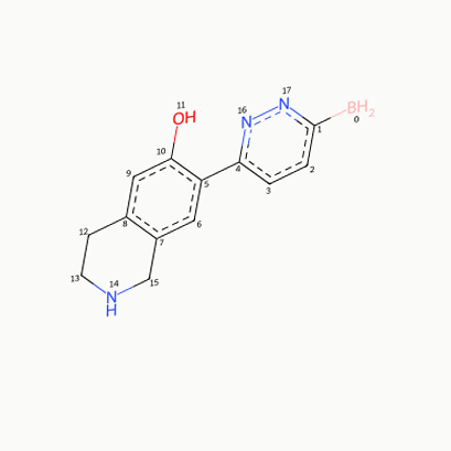 Bc1ccc(-c2cc3c(cc2O)CCNC3)nn1